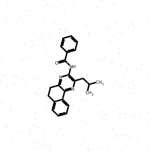 CC(C)Cc1nc2c(nc1NC(=O)c1ccccc1)CCc1ccccc1-2